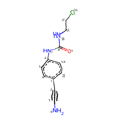 NC#Cc1ccc(NC(=O)NCCCl)cc1